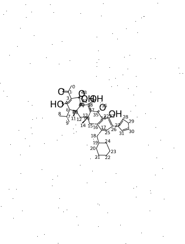 CC(=O)C1=C(O)C(C(C)C)[C@@]2(C)C[C@@]3(C)Cc4c(CC5CCCCC5)cc(C5=CCC=C5)c(O)c4C(=O)C3=C(O)[C@@]2(O)C1=O